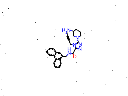 CC#CCn1c(C(=O)NCc2cc3ccccc3c3ccccc23)nnc1N1CCCC(N)C1